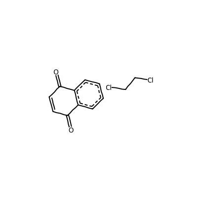 ClCCCl.O=C1C=CC(=O)c2ccccc21